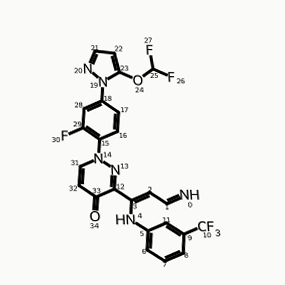 N=C/C=C(\Nc1cccc(C(F)(F)F)c1)c1nn(-c2ccc(-n3nccc3OC(F)F)cc2F)ccc1=O